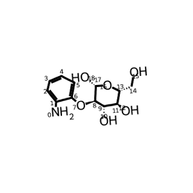 Nc1ccccc1O[C@@H]1[C@@H](O)[C@H](O)[C@@H](CO)O[C@H]1O